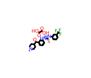 CN1CCC(C(=O)c2cccc(NC(=S)Nc3cccc(C(F)(F)F)c3)c2)CC1.O=C(O)C(=O)O